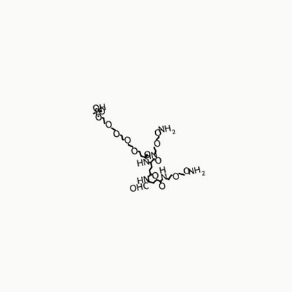 CP(=O)(O)OCCOCCOCCOCCOCCC(=O)NC(CCC(=O)NC(C=O)CCC(=O)NCCOCCON)C(=O)NCCOCCON